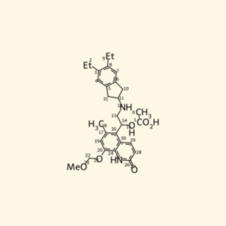 CC(=O)O.CCc1cc2c(cc1CC)CC(NCC(O)c1c(C)cc(OCOC)c3[nH]c(=O)ccc13)C2